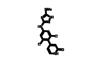 CNc1nc(Nc2cc(Cl)c(-c3cc[nH]c(=O)c3)c(Cl)c2)n[nH]1